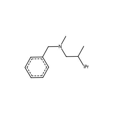 CC(C)C(C)CN(C)Cc1ccccc1